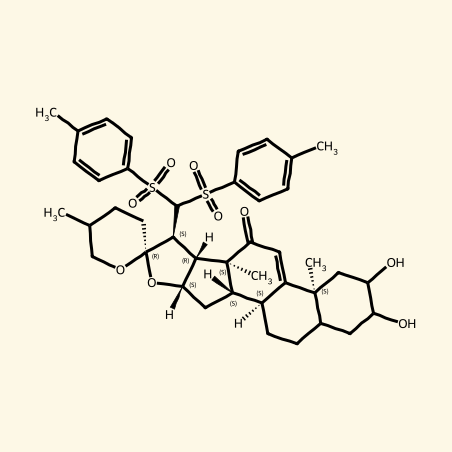 Cc1ccc(S(=O)(=O)C([C@H]2[C@H]3[C@H](C[C@H]4[C@@H]5CCC6CC(O)C(O)C[C@]6(C)C5=CC(=O)[C@]34C)O[C@]23CCC(C)CO3)S(=O)(=O)c2ccc(C)cc2)cc1